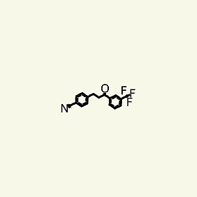 N#Cc1ccc(CCC(=O)c2cccc(C(F)(F)F)c2)cc1